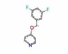 Fc1cc(F)cc([CH]Oc2ccncc2)c1